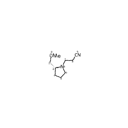 COC[C@H]1CCCN1CCC#N